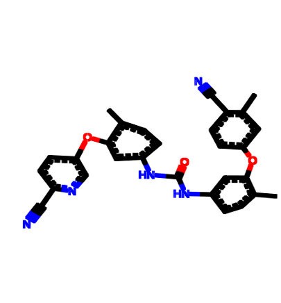 Cc1cc(Oc2cc(NC(=O)Nc3ccc(C)c(Oc4ccc(C#N)nc4)c3)ccc2C)ccc1C#N